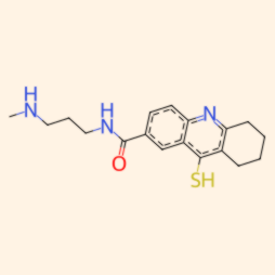 CNCCCNC(=O)c1ccc2nc3c(c(S)c2c1)CCCC3